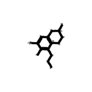 CCCc1c(C)c(F)cc2c1CCC(C)C2